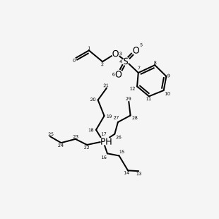 C=CCOS(=O)(=O)c1ccccc1.CCCC[PH](CCCC)(CCCC)CCCC